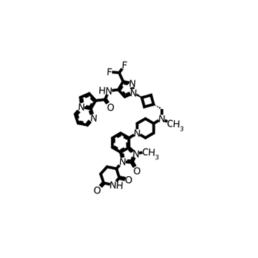 CN(C[C@H]1C[C@H](n2cc(NC(=O)c3ccn4cccnc34)c(C(F)F)n2)C1)C1CCN(c2cccc3c2n(C)c(=O)n3C2CCC(=O)NC2=O)CC1